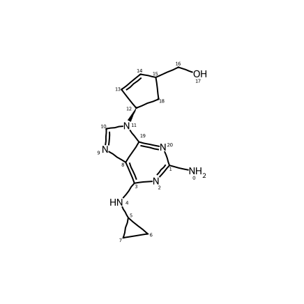 Nc1nc(NC2CC2)c2ncn([C@H]3C=CC(CO)C3)c2n1